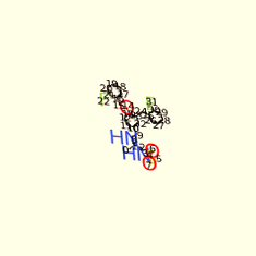 C[C@H](CNS(C)(=O)=O)NCc1ccc(OCc2ccccc2F)c(Cc2ccccc2F)c1